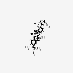 CC(C)(C)c1ccc(CC(Cc2ccc(C(C)(C)C)cc2)(P(=O)(O)O)P(=O)(O)O)cc1